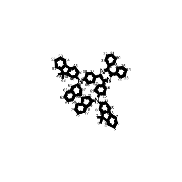 CC1(C)c2ccccc2-c2ccc(N(c3ccc(-c4nc(-c5ccccc5)c(-c5ccccc5)nc4-c4ccc(N(c5ccc6c(c5)C(C)(C)c5ccccc5-6)c5ccc6ccccc6c5)cc4)cc3)c3ccc4ccccc4c3)cc21